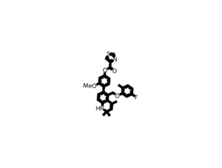 COc1cc(OC(=O)c2cscn2)ccc1-c1ccc2c(c1COc1cc(F)ccc1C)C(C)=CC(C)(C)N2